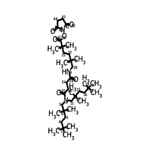 CC(C)(C)CCC(C)(C)CN(CC(C)(C)CCC(C)(C)C)C(=O)CCC(=O)NCC(C)(C)CCC(C)(C)C(=O)ON1C(=O)CCC1=O